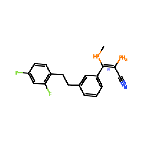 CP/C(=C(\P)C#N)c1cccc(CCc2ccc(F)cc2F)c1